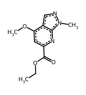 CCOC(=O)c1cc(OC)c2cnn(C)c2n1